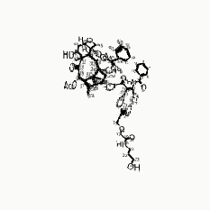 CCC(NC(=O)c1ccccc1)[C@@H](OC(=O)COCC(=O)NCCCO)C(=O)O[C@H]1C[C@@]2(O)[C@@H](OC(=O)c3ccccc3)[C@@H]3[C@]4(OC(C)=O)CO[C@@H]4C[C@H](O)[C@@]3(C)C(=O)[C@H](OC(C)=O)C(=C1C)C2(C)C